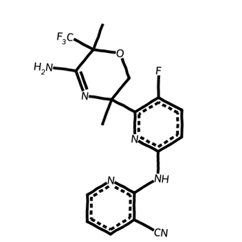 CC1(c2nc(Nc3ncccc3C#N)ccc2F)COC(C)(C(F)(F)F)C(N)=N1